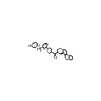 C1=CC=CNC=C1.O=C(C1C=c2c(ccc3c2=CCc2ccccc2-3)CC1)C1CCN(c2nccc(C(F)(F)F)n2)CC1